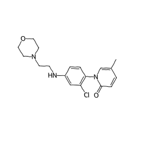 Cc1ccc(=O)n(-c2ccc(NCCN3CCOCC3)cc2Cl)c1